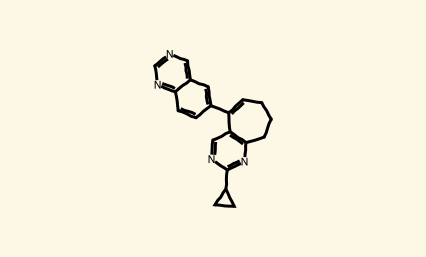 C1=C(c2ccc3ncncc3c2)c2cnc(C3CC3)nc2CCC1